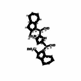 CCOC(=O)c1cc2ccccc2n1N(C=O)c1ccc(N(C=O)n2c(C(=O)OCC)cc3ccccc32)[nH]1